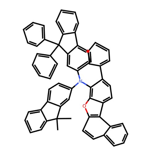 CC1(C)c2ccccc2-c2ccc(N(c3ccc4c(c3)C(c3ccccc3)(c3ccccc3)c3ccccc3-4)c3c(-c4ccccc4)ccc4c3oc3ccc5ccccc5c34)cc21